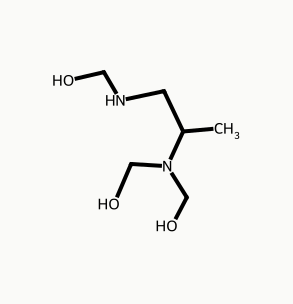 CC(CNCO)N(CO)CO